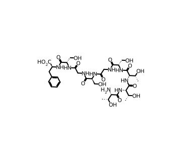 C[C@@H](O)[C@H](N)C(=O)N[C@H](C(=O)N[C@H](C(=O)N[C@@H](CO)C(=O)NCC(=O)N[C@@H](CO)C(=O)NCC(=O)N[C@@H](CO)C(=O)N[C@@H](Cc1ccccc1)C(=O)O)[C@@H](C)O)[C@@H](C)O